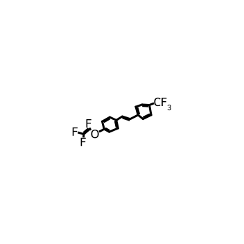 FC(F)=C(F)Oc1ccc(C=Cc2ccc(C(F)(F)F)cc2)cc1